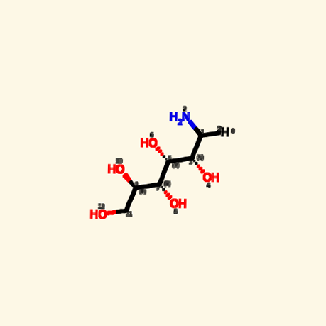 [2H]C(N)[C@H](O)[C@@H](O)[C@H](O)[C@H](O)CO